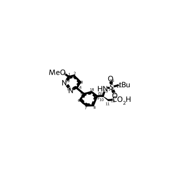 COc1ccc(-c2cccc([C@H](CC(=O)O)NS(=O)(=O)C(C)(C)C)c2)nn1